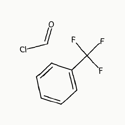 FC(F)(F)c1ccccc1.O=CCl